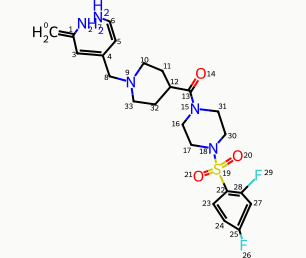 C=C(N)/C=C(\C=C/N)CN1CCC(C(=O)N2CCN(S(=O)(=O)c3ccc(F)cc3F)CC2)CC1